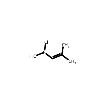 CC(C)=CP(C)Cl